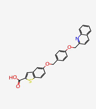 O=C(O)c1cc2cc(OCc3ccc(OCc4ccc5ccccc5n4)cc3)ccc2s1